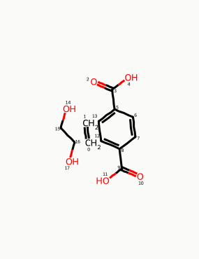 C=C.O=C(O)c1ccc(C(=O)O)cc1.OCCO